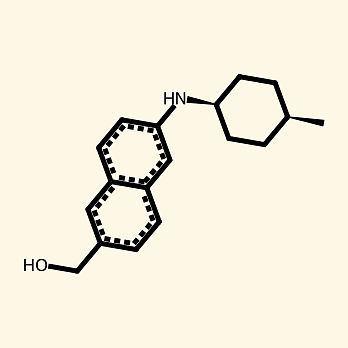 C[C@H]1CC[C@@H](Nc2ccc3cc(CO)ccc3c2)CC1